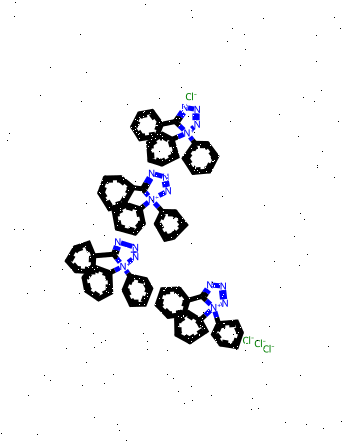 [Cl-].[Cl-].[Cl-].[Cl-].c1ccc(C2=NN=N[N+]2(c2ccccc2)c2ccccc2)cc1.c1ccc(C2=NN=N[N+]2(c2ccccc2)c2ccccc2)cc1.c1ccc(C2=NN=N[N+]2(c2ccccc2)c2ccccc2)cc1.c1ccc(C2=NN=N[N+]2(c2ccccc2)c2ccccc2)cc1